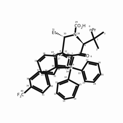 CCCC(C)(C)[C@@H](C(=O)C(C#N)=P(c1ccccc1)(c1ccccc1)c1ccccc1)N(C(=O)O)[C@@H](CC)c1nnc(-c2ccc(C(F)(F)F)cc2)o1